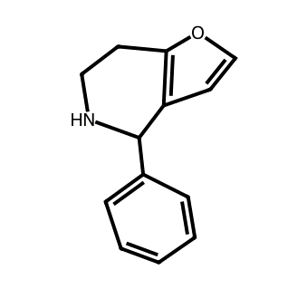 c1ccc(C2NCCc3occc32)cc1